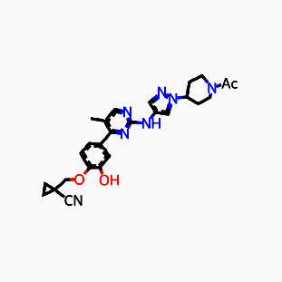 CC(=O)N1CCC(n2cc(Nc3ncc(C)c(-c4ccc(OCC5(C#N)CC5)c(O)c4)n3)cn2)CC1